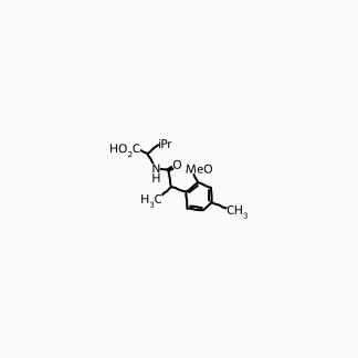 COc1cc(C)ccc1C(C)C(=O)NC(C(=O)O)C(C)C